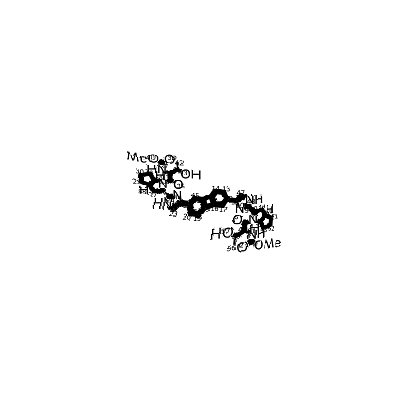 COC(=O)N[C@H](C(=O)N1C(c2nc(-c3ccc4c(c3)-c3ccc(-c5c[nH]c([C@@H]6C[C@@H]7CCC[C@@H]7N6C(=O)[C@@H](NC(=O)OC)[C@@H](C)O)n5)cc3-4)c[nH]2)C[C@@H]2CCC[C@@H]21)[C@@H](C)O